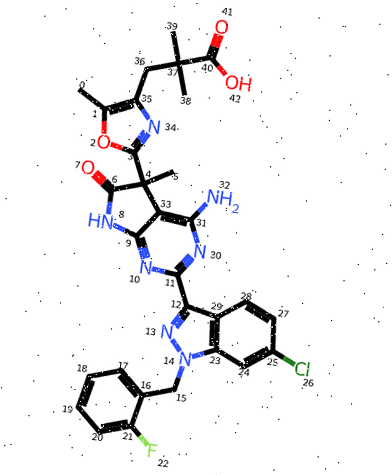 Cc1oc(C2(C)C(=O)Nc3nc(-c4nn(Cc5ccccc5F)c5cc(Cl)ccc45)nc(N)c32)nc1CC(C)(C)C(=O)O